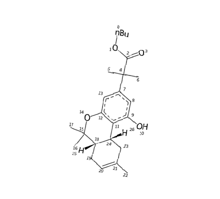 CCCCOC(=O)C(C)(C)c1cc(O)c2c(c1)OC(C)(C)[C@H]1CC=C(C)C[C@@H]21